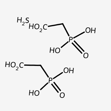 O=C(O)CP(=O)(O)O.O=C(O)CP(=O)(O)O.S